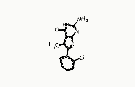 Cc1c(-c2ccccc2Cl)sc2nc(N)[nH]c(=O)c12